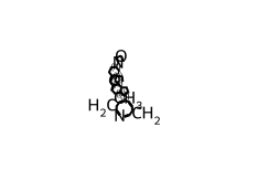 C=c1ccncc(=C)cc([C@H]2CCC3[C@]2(C)CC=C2C=C4CC[C@@H](N5COC5)C[C@]45CC[C@@]23O5)cc1